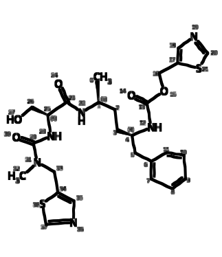 C[C@@H](CC[C@H](Cc1ccccc1)NC(=O)OCc1cncs1)NC(=O)[C@H](CO)NC(=O)N(C)Cc1cncs1